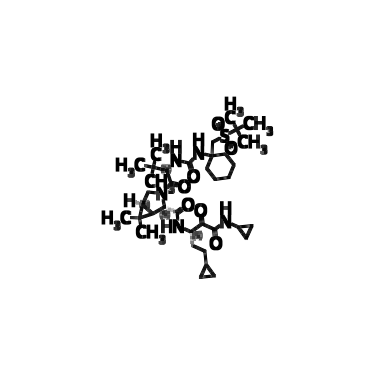 CC(C)(C)[C@H](NC(=O)NC1(CS(=O)(=O)C(C)(C)C)CCCCC1)C(=O)N1C[C@H]2C([C@H]1C(=O)N[C@@H](CCC1CC1)C(=O)C(=O)NC1CC1)C2(C)C